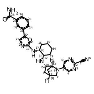 N#Cc1ncc(N2C[C@@H]3C[C@H](N[C@@H]4CCCC[C@H]4Nc4ncc(-c5cccc(C(N)=O)c5)o4)[C@H]2C3)cn1